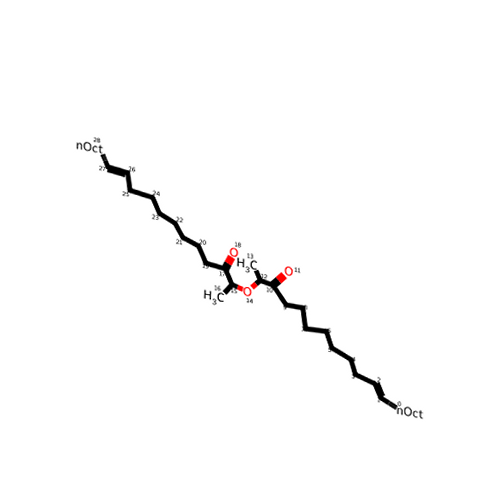 CCCCCCCCC=CCCCCCCCC(=O)C(C)OC(C)C(=O)CCCCCCCC=CCCCCCCCC